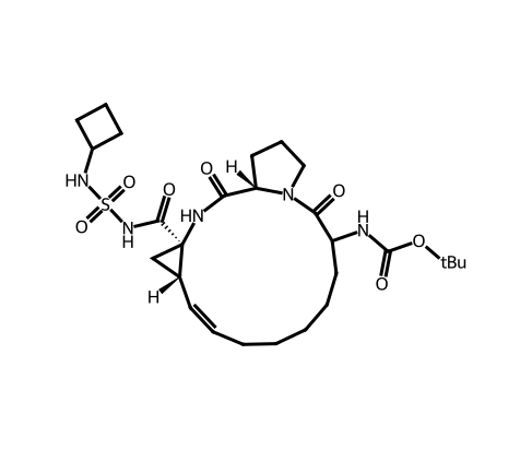 CC(C)(C)OC(=O)NC1CCCCC/C=C\[C@@H]2C[C@@]2(C(=O)NS(=O)(=O)NC2CCC2)NC(=O)[C@@H]2CCCN2C1=O